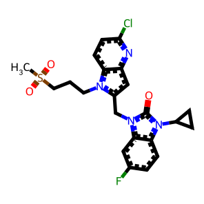 CS(=O)(=O)CCCn1c(Cn2c(=O)n(C3CC3)c3ccc(F)cc32)cc2nc(Cl)ccc21